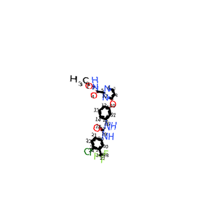 CONC(=O)c1nccc(Oc2cccc(NC(=O)Nc3ccc(Cl)c(C(F)(F)F)c3)c2)n1